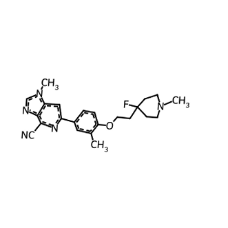 Cc1cc(-c2cc3c(ncn3C)c(C#N)n2)ccc1OCCC1(F)CCN(C)CC1